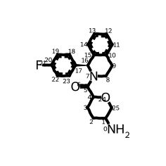 NC1CCC(C(=O)N2CCc3ccccc3[C@@H]2c2ccc(F)cc2)OC1